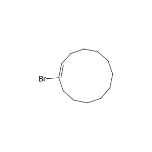 Br/C1=C/CCCCCCCCCC1